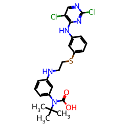 CC(C)(C)N(C(=O)O)c1cccc(NCCSc2cccc(Nc3nc(Cl)ncc3Cl)c2)c1